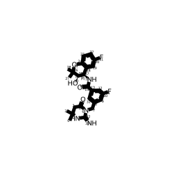 CC1(C)CC(=O)N(Cc2cc(F)cc(C(=O)N[C@@H]3c4cc(F)ccc4OC(C)(C)[C@H]3O)c2)C(=N)N1